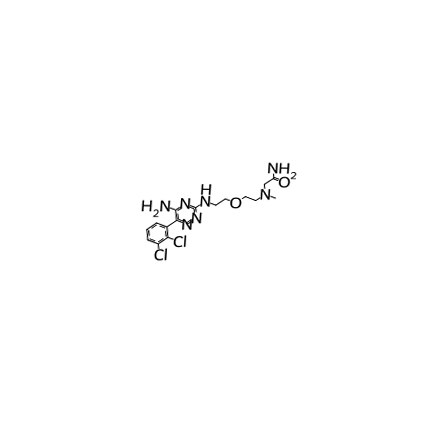 CN(CCOCCNc1nnc(-c2cccc(Cl)c2Cl)c(N)n1)CC(N)=O